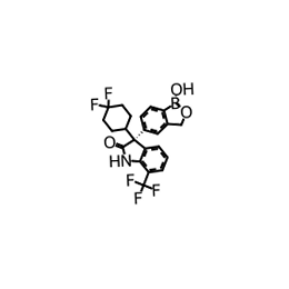 O=C1Nc2c(C(F)(F)F)cccc2[C@]1(c1ccc2c(c1)COB2O)C1CCC(F)(F)CC1